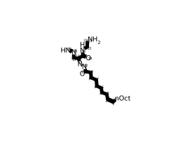 CCCCCCCC/C=C\CCCCCCCC(=O)N=NC(CN=N)C(=O)NCCN